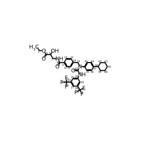 CCOC(=O)C(O)CNC(=O)c1ccc(CN(C(=O)Nc2cc(C(F)(F)F)cc(C(F)(F)F)c2)c2ccc(C3CCCCC3)cc2)cc1